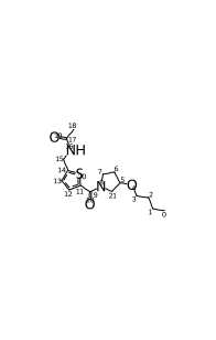 CCCCOC1CCN(C(=O)c2ccc(CNC(C)=O)s2)C1